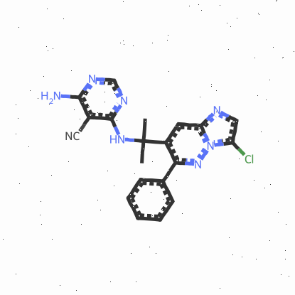 CC(C)(Nc1ncnc(N)c1C#N)c1cc2ncc(Cl)n2nc1-c1ccccc1